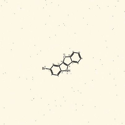 Brc1ccc2[nH]c3c4ccccc4oc3c2c1